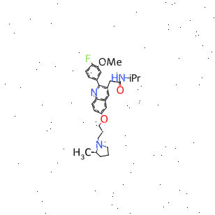 COc1cc(-c2nc3ccc(OCCCN4CCC[C@H]4C)cc3cc2CC(=O)NC(C)C)ccc1F